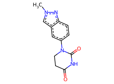 Cn1cc2cc(N3CCC(=O)NC3=O)ccc2n1